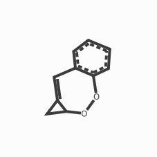 C1=C2CC2OOc2ccccc21